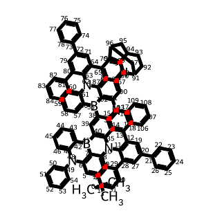 CC(C)(C)c1cc2c3c(c1)N(c1c(-c4ccccc4)cc(-c4ccccc4)cc1-c1ccccc1)c1cc4c(cc1B3c1ccccc1N2c1ccccc1)B1c2ccccc2N(c2c(-c3ccccc3)cc(-c3ccccc3)cc2-c2ccccc2)c2cc(N3C5CCC6CC(C5)CC63)cc(c21)N4c1ccccc1